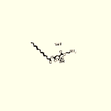 CCCCCCCCCCCC(=O)OC(=O)CC(C(=O)OCCN)S(=O)(=O)O.[NaH]